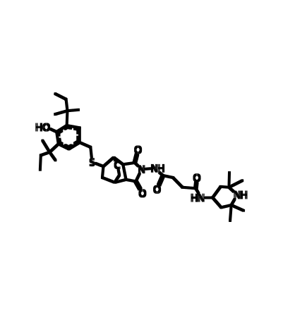 CCC(C)(C)c1cc(CSC2CC3CCC2C2C(=O)N(NC(=O)CCC(=O)NC4CC(C)(C)NC(C)(C)C4)C(=O)C32)cc(C(C)(C)CC)c1O